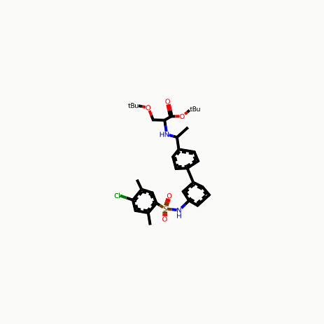 Cc1cc(S(=O)(=O)Nc2cccc(-c3ccc(C(C)NC(COC(C)(C)C)C(=O)OC(C)(C)C)cc3)c2)c(C)cc1Cl